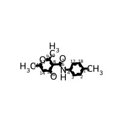 Cc1ccc(NC(=O)c2c(C)oc(C)cc2=O)cc1